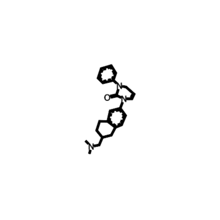 CN(C)CC1CCc2cc(N3C=CCN(c4ccccc4)C3=O)ccc2C1